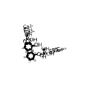 O=[PH](O)O.O=[PH](O)O.Oc1ccccc1.Oc1ccccc1.[Ca+2].[Ca+2].[Ca+2].[Ca+2].[Ca+2].[S-2].[S-2]